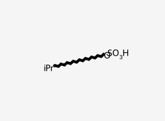 CC(C)CCCCCCCCCCCCCCCCCOS(=O)(=O)O